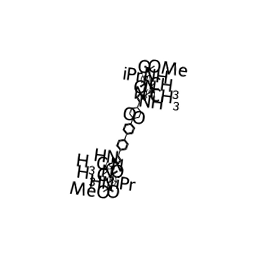 COC(=O)N[C@@H](C(=O)N(C)[C@@H](C)c1ncc(-c2ccc(-c3ccc(C4OCC(c5cnc([C@H](C)N(C)C(=O)[C@H](NC(=O)OC)C(C)C)[nH]5)CO4)cc3)cc2)[nH]1)C(C)C